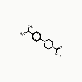 CC(C)c1ccc(N2CCN(C(N)=O)CC2)cc1